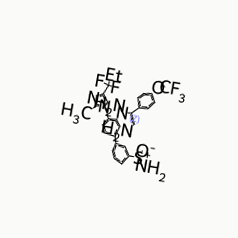 CCC(F)(F)c1cn(-c2ccc(-c3cccc([S+](N)[O-])c3)cc2N(N)/C(=C\N)c2ccc(OC(F)(F)F)cc2)c(C)n1